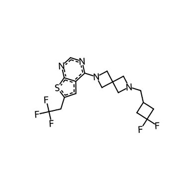 FC(F)(F)Cc1cc2c(N3CC4(CN(CC5CC(F)(F)C5)C4)C3)ncnc2s1